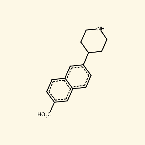 O=C(O)c1ccc2cc(C3CCNCC3)ccc2c1